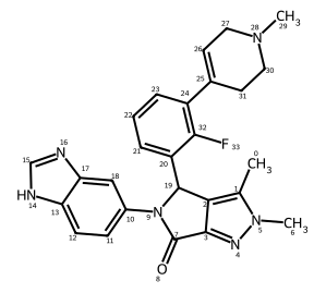 Cc1c2c(nn1C)C(=O)N(c1ccc3[nH]cnc3c1)C2c1cccc(C2=CCN(C)CC2)c1F